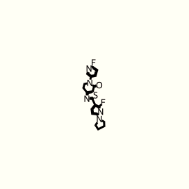 O=C1c2sc(-c3ccc(N4CCCC4)nc3F)nc2CCN1c1ccc(F)nc1